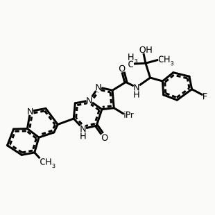 Cc1cccc2ncc(-c3cn4nc(C(=O)NC(c5ccc(F)cc5)C(C)(C)O)c(C(C)C)c4c(=O)[nH]3)cc12